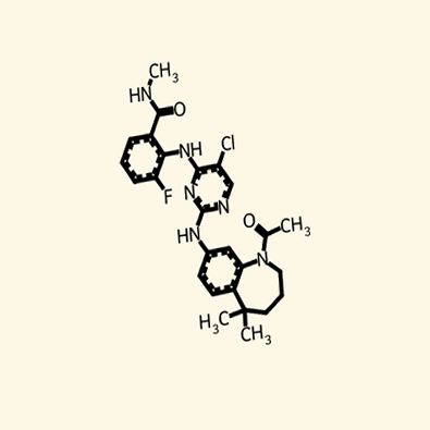 CNC(=O)c1cccc(F)c1Nc1nc(Nc2ccc3c(c2)N(C(C)=O)CCCC3(C)C)ncc1Cl